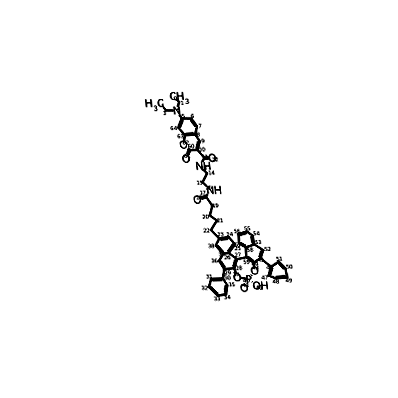 CCN(CC)c1ccc2cc(C(=O)NCCNC(=O)CCCCc3ccc4c5c(c(-c6ccccc6)cc4c3)OP(=O)(O)Oc3c(-c4ccccc4)cc4ccccc4c3-5)c(=O)oc2c1